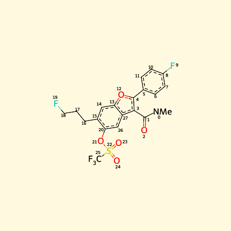 CNC(=O)c1c(-c2ccc(F)cc2)oc2cc(CCCF)c(OS(=O)(=O)C(F)(F)F)cc12